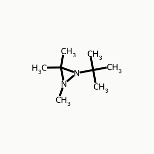 CN1N(C(C)(C)C)C1(C)C